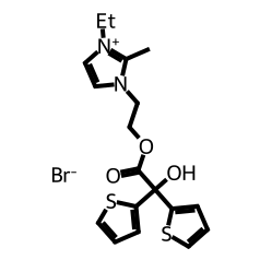 CC[n+]1ccn(CCOC(=O)C(O)(c2cccs2)c2cccs2)c1C.[Br-]